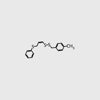 Cc1ccc(CSS/C=C\CSc2ccccc2)cc1